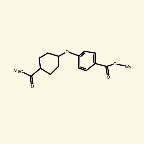 COC(=O)C1CCC(Oc2ccc(C(=O)OC(C)(C)C)cc2)CC1